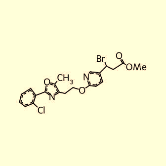 COC(=O)CC(Br)c1ccc(OCCc2nc(-c3ccccc3Cl)oc2C)nc1